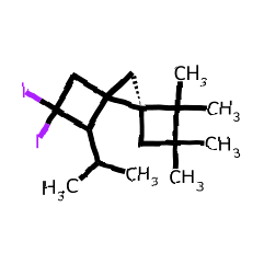 CC(C)C1C(I)(I)CC12C[C@]21CC(C)(C)C1(C)C